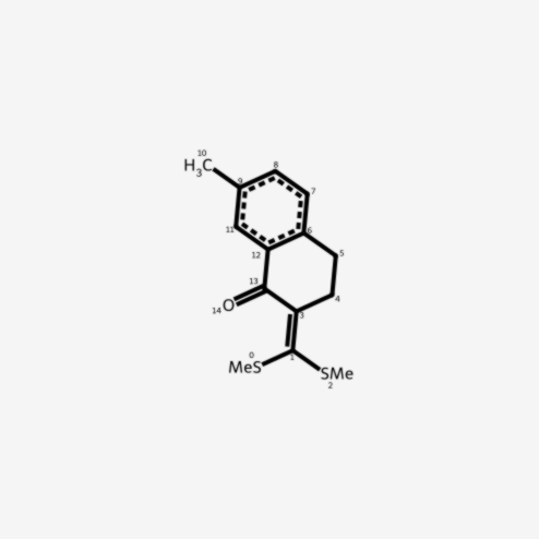 CSC(SC)=C1CCc2ccc(C)cc2C1=O